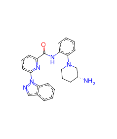 N[C@@H]1CCCN(c2ccccc2NC(=O)c2cccc(-n3ncc4ccccc43)n2)C1